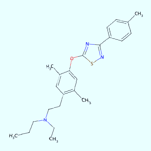 CCCN(CC)CCc1cc(C)c(Oc2nc(-c3ccc(C)cc3)ns2)cc1C